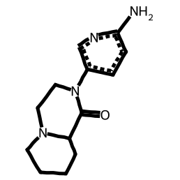 Nc1ccc(N2CCN3CCCCC3C2=O)cn1